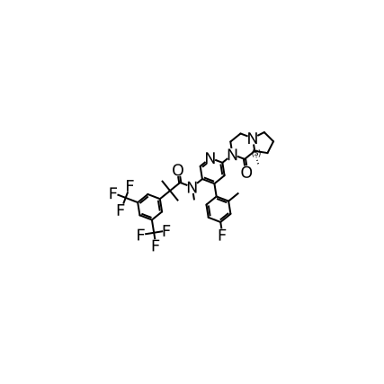 Cc1cc(F)ccc1-c1cc(N2CCN3CCC[C@@]3(C)C2=O)ncc1N(C)C(=O)C(C)(C)c1cc(C(F)(F)F)cc(C(F)(F)F)c1